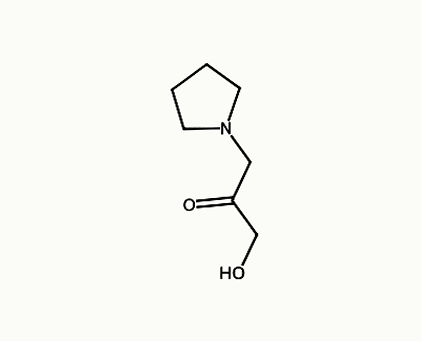 O=C(CO)CN1CCCC1